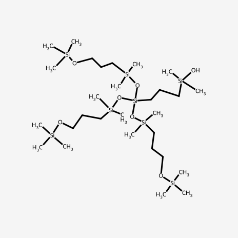 C[Si](C)(O)CCC[Si](O[Si](C)(C)CCCO[Si](C)(C)C)(O[Si](C)(C)CCCO[Si](C)(C)C)O[Si](C)(C)CCCO[Si](C)(C)C